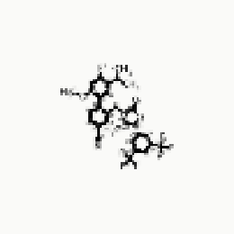 COc1cc(F)c(C(C)C)cc1-c1ccc(C#N)cc1CN1C(=O)O[C@H](c2cc(C(F)(F)F)cc(C(F)(F)F)c2)[C@@H]1C